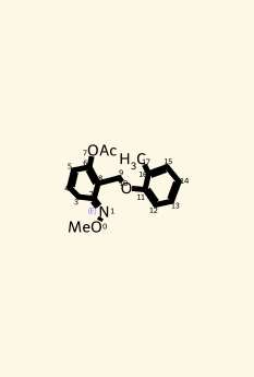 CO/N=C1\CC=CC(OC(C)=O)=C1COc1ccccc1C